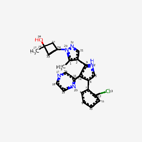 Cc1c(-c2[nH]cc(-c3ccccc3Cl)c2-c2cnccn2)cnn1C1CC(C)(O)C1